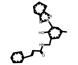 Cc1cc(CNC(=O)C=Cc2ccccc2)c(O)c(-n2nc3ccccc3n2)c1